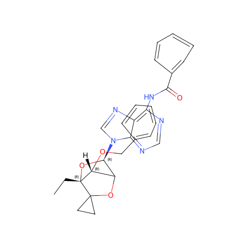 CC[C@]12O[C@@H](n3cnc4c(NC(=O)c5ccccc5)ncnc43)C(OC13CC3)[C@H]2OCc1ccccc1